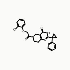 O=C(COc1ccccc1Cl)N1CCc2nc(C3(c4ccccc4)CC3)[nH]c(=O)c2C1